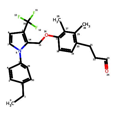 CCc1ccc(-n2ccc(C(F)(F)F)c2COc2ccc(CCC=O)c(C)c2C)cc1